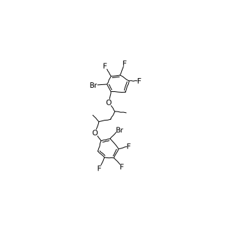 CC(CC(C)Oc1cc(F)c(F)c(F)c1Br)Oc1cc(F)c(F)c(F)c1Br